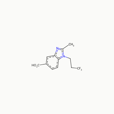 Cc1nc2cc(C(=O)O)ccc2n1CCC(F)(F)F